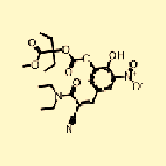 CCN(CC)C(=O)C(C#N)=Cc1cc(OC(=O)OC(CC)(CC)C(=O)OC)c(O)c([N+](=O)[O-])c1